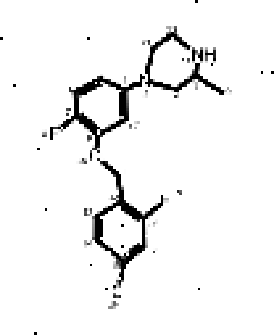 CC1CN(c2ccc(F)c(OCc3ccc(Cl)cc3F)c2)CCN1